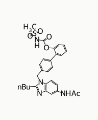 CCCCc1nc2cc(NC(C)=O)ccc2n1Cc1ccc(-c2ccccc2OC(=O)NS(C)(=O)=O)cc1